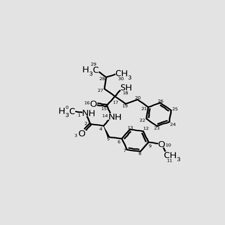 CNC(=O)[C@H](Cc1ccc(OC)cc1)NC(=O)C(S)(CCc1ccccc1)CC(C)C